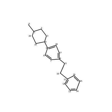 CC1CCC(c2ccc(CCc3ccccc3)cc2)CC1